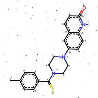 Cc1ccc(C(=S)N2CCN(c3ccc4[nH]c(=O)ccc4c3)CC2)cc1